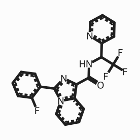 O=C(NC(c1ccccn1)C(F)(F)F)c1nc(-c2ccccc2F)n2ccccc12